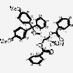 COc1ccc(C(OC[C@@H](OC(=O)c2ccccc2)[C@@H](CO)OC(=O)c2ccccc2)(c2ccccc2)c2ccc(OC)cc2)cc1